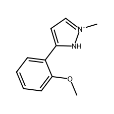 COc1ccccc1-c1cc[n+](C)[nH]1